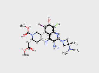 CN(C)C1(C)CN(c2nc3c(F)c(Br)c(I)cc3c(N[C@H]3CCN(C(=O)OC(C)(C)C)[C@@H](CC(=O)OC(C)(C)C)C3)c2N)C1